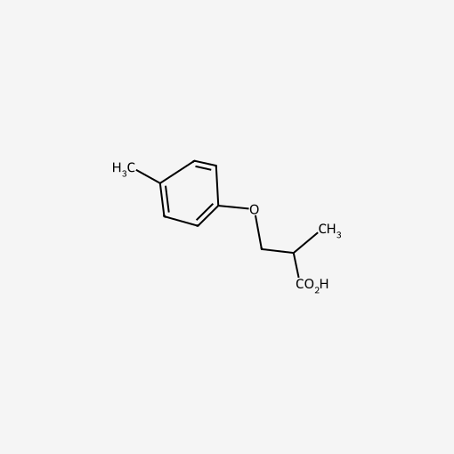 Cc1ccc(OCC(C)C(=O)O)cc1